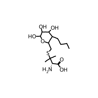 CCCCC1C(CSC(C)(C)[C@@H](N)C(=O)O)OC(O)C(O)C1O